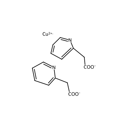 O=C([O-])Cc1ccccn1.O=C([O-])Cc1ccccn1.[Cu+2]